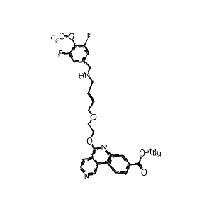 CC(C)(C)OC(=O)c1ccc2c(c1)nc(OCCOCCCCNCc1cc(F)c(OC(F)(F)F)c(F)c1)c1ccncc12